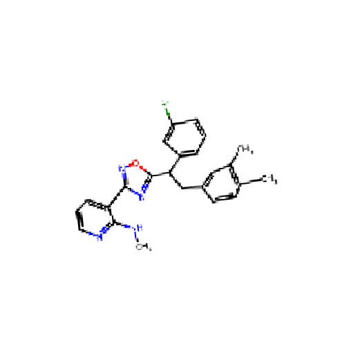 CNc1ncccc1-c1noc(C(Cc2ccc(C)c(C)c2)c2cccc(Br)c2)n1